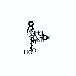 CN(C(=O)NCc1ccc(F)cc1Cl)[C@@H](CCCC(=O)O)COC(=O)Nc1cc2ccccc2cn1